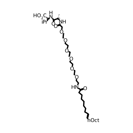 CCCCCCCCC=CCCCCCCCC(=O)NCCOCCOCCOCCOCCOCCOCC(=O)N[C@@H](C)C(=O)N[C@H](C(=O)O)C(C)C